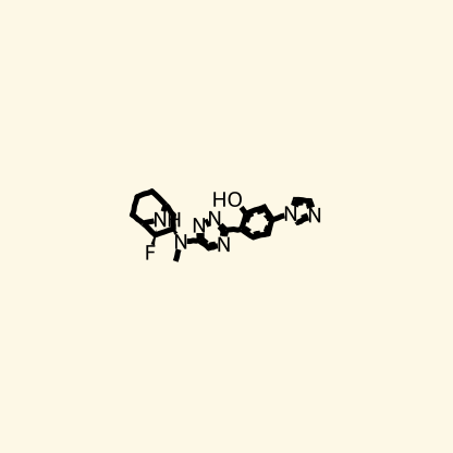 CN(c1cnc(-c2ccc(-n3ccnc3)cc2O)nn1)[C@@H]1CC2CCCC(N2)[C@@H]1F